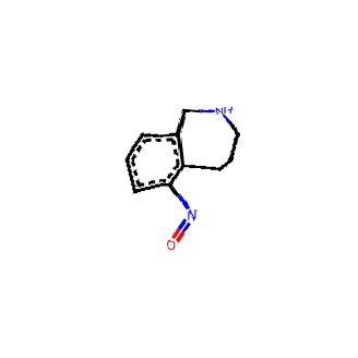 O=Nc1cccc2c1CCNC2